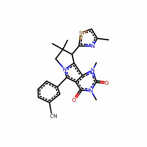 Cc1csc(C2c3c4c(c(-c5cccc(C#N)c5)n3CC2(C)C)c(=O)n(C)c(=O)n4C)n1